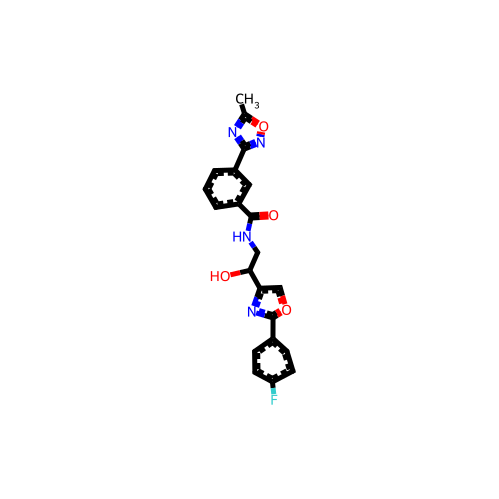 Cc1nc(-c2cccc(C(=O)NCC(O)c3coc(-c4ccc(F)cc4)n3)c2)no1